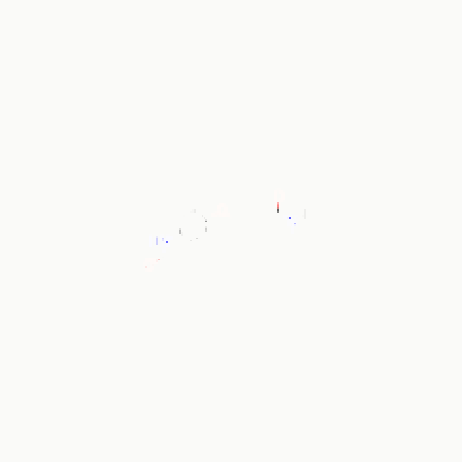 CCN(C(=O)CCCOc1ccc2c(c1)CCC(=O)N2)C1CCCCC1